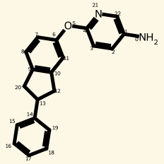 Nc1ccc(Oc2ccc3c(c2)CC(c2ccccc2)C3)nc1